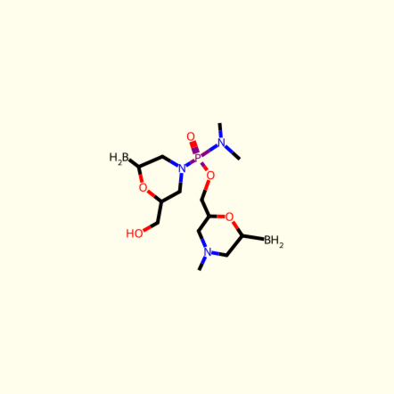 BC1CN(C)CC(COP(=O)(N(C)C)N2CC(B)OC(CO)C2)O1